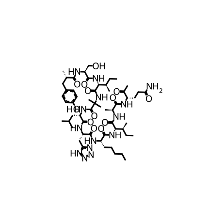 CCCCC[C@H](NC(=O)[C@H](Cc1nnn[nH]1)NC(=O)[C@H](CC(C)C)NC(=O)C(C)(C)NC(=O)[C@H](NC(=O)[C@H](CO)NC(=O)[C@@H](C)Cc1ccc(O)cc1)[C@H](C)CC)C(=O)N[C@H](C(=O)N[C@@H](C)C(=O)N[C@@H](CCC(N)=O)C(C)=O)[C@@H](C)CC